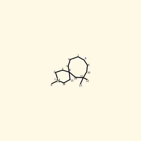 CN1CCC2(CCCCCCC(C)(C)C2)CC1